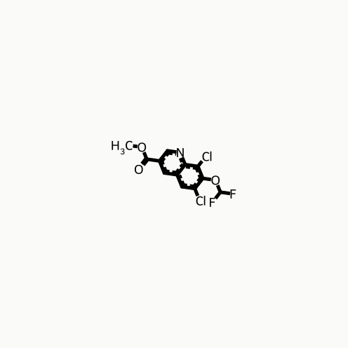 COC(=O)c1cnc2c(Cl)c(OC(F)F)c(Cl)cc2c1